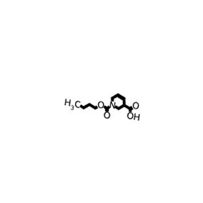 CCCCOC(=O)N1CC=CC(C(=O)O)C1